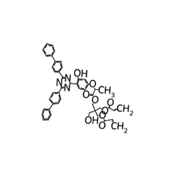 C=CC(=O)OCC(CO)(COC(=O)C=C)COC(=O)C(C)Oc1ccc(-c2nc(-c3ccc(-c4ccccc4)cc3)nc(-c3ccc(-c4ccccc4)cc3)n2)c(O)c1